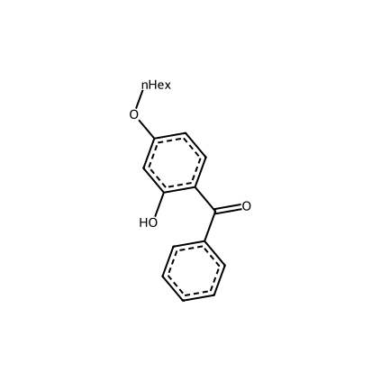 CCCCCCOc1ccc(C(=O)c2ccccc2)c(O)c1